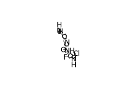 O=C(NCc1cc2c(Cl)c[nH]c2cc1F)c1ccnc(Cc2cccc(-c3cc[nH]n3)c2)c1